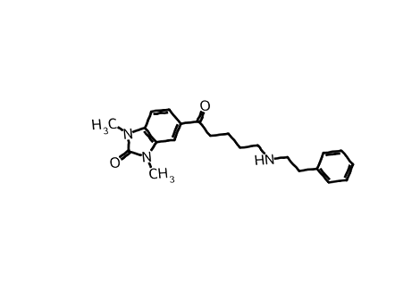 Cn1c(=O)n(C)c2cc(C(=O)CCCCNCCc3ccccc3)ccc21